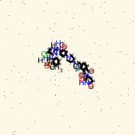 COc1cc(N2CCC(N(C)Cc3ccc4c(c3F)C(=O)N(C3CCC(=O)NC3=O)C4=O)CC2)ccc1Nc1ncc(Cl)c(Nc2ccccc2P(C)(C)=O)n1